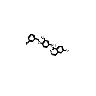 Fc1cccc(COc2ccc(Nc3nccc4cc(Br)ccc34)cc2Cl)c1